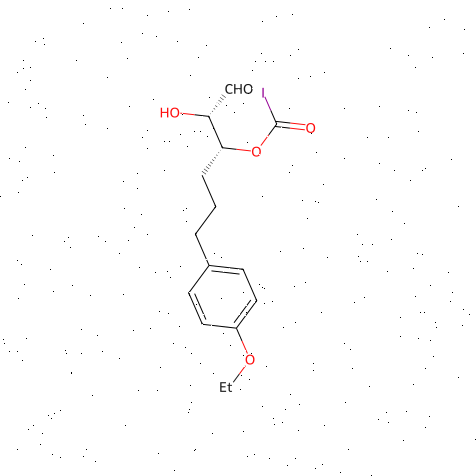 CCOc1ccc(CCC[C@@H](OC(=O)I)[C@H](O)C=O)cc1